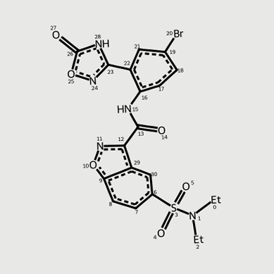 CCN(CC)S(=O)(=O)c1ccc2onc(C(=O)Nc3ccc(Br)cc3-c3noc(=O)[nH]3)c2c1